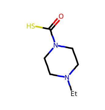 CCN1CCN(C(=O)S)CC1